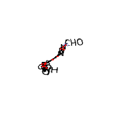 O=C/C=C/CN1CCC(N2CCN(CCCCCCCCCCSc3cccc4c3CN(C3CCC(=O)NC3=O)C4=O)CC2)CC1